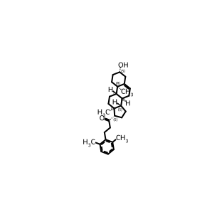 Cc1cccc(C)c1CCC(=O)[C@H]1CC[C@H]2[C@@H]3CC=C4C[C@@H](O)CC[C@]4(C)[C@H]3CC[C@]12C